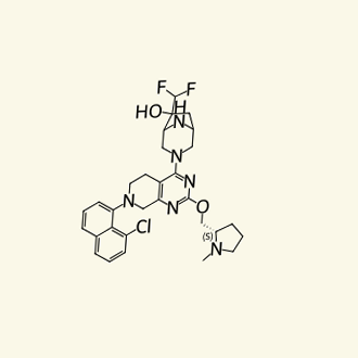 CN1CCC[C@H]1COc1nc2c(c(N3CC4CC(O)(C(F)F)C(C3)N4)n1)CCN(c1cccc3cccc(Cl)c13)C2